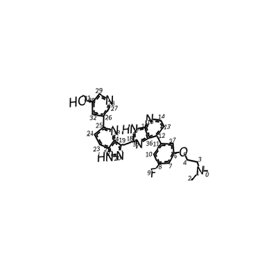 CN(C)CCOc1cc(F)cc(-c2ccnc3[nH]c(-c4n[nH]c5ccc(-c6cncc(O)c6)nc45)nc23)c1